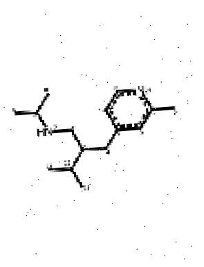 Cc1cc(CC(CNC(C)C)C(C)C)ccn1